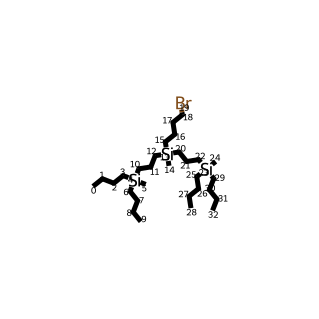 CCCC[Si](C)(CCCC)CCC[Si](C)(CCCCBr)CCC[Si](C)(CCCC)CCCC